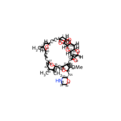 C=C1C[C@@H]2CC[C@@]34C[C@H]5OC6[C@@H](O[C@H]7CC[C@H](CC(=O)C[C@@H]8[C@@H](OC)[C@@H](C[C@H]9CNCCO9)O[C@H]8C[C@H]8O[C@@H](CC[C@@H]1O2)C[C@@H](C)C8=C)O[C@@H]7[C@@H]6O3)[C@H]5O4